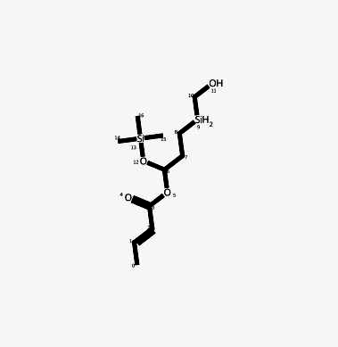 CC=CC(=O)OC(CC[SiH2]CO)O[Si](C)(C)C